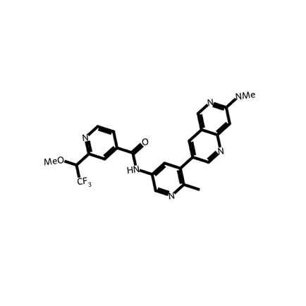 CNc1cc2ncc(-c3cc(NC(=O)c4ccnc(C(OC)C(F)(F)F)c4)cnc3C)cc2cn1